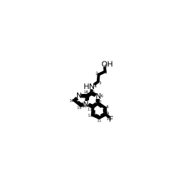 OCCCNc1nc2cc(F)ccc2n2ccnc12